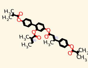 C=C(C)C(=O)Oc1ccc(/C(C)=C/C(=O)Oc2ccc(-c3ccc(OC(=O)C(=C)C)cc3)c(OC(=O)/C(C)=C/C)c2)cc1